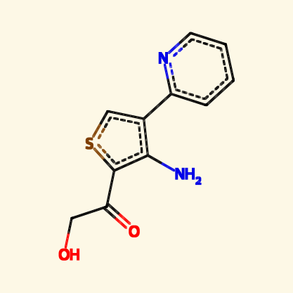 Nc1c(-c2ccccn2)csc1C(=O)CO